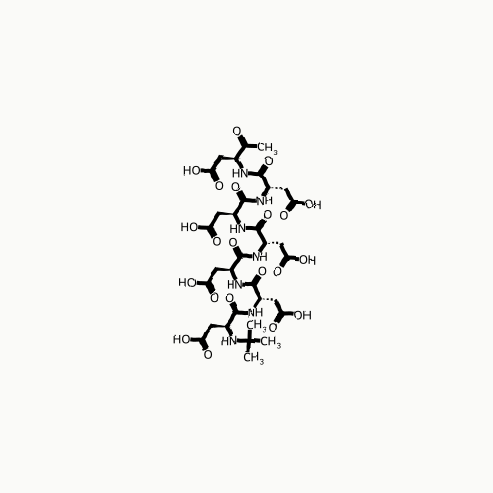 CC(=O)[C@H](CC(=O)O)NC(=O)[C@H](CC(=O)O)NC(=O)[C@H](CC(=O)O)NC(=O)[C@H](CC(=O)O)NC(=O)[C@H](CC(=O)O)NC(=O)[C@H](CC(=O)O)NC(=O)[C@H](CC(=O)O)NC(C)(C)C